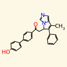 CC1=C(c2ccccc2)C(CC(=O)c2ccc(-c3ccc(O)cc3)cc2)n2cncc21